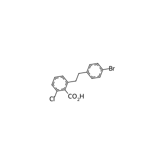 O=C(O)c1c(Cl)cccc1CCc1ccc(Br)cc1